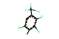 [CH2]c1c(Cl)cc(C(F)(F)F)c(F)c1F